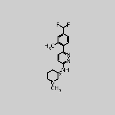 Cc1cc(C(F)F)ccc1-c1ccc(N[C@@H]2CCCN(C)C2)nn1